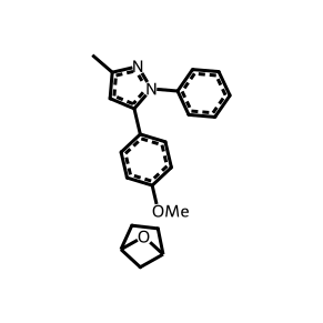 C1CC2CC1O2.COc1ccc(-c2cc(C)nn2-c2ccccc2)cc1